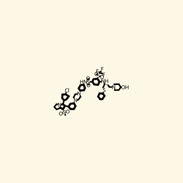 CS(=O)(=O)c1c(-c2cccc(N3CCN(c4ccc(NS(=O)(=O)c5ccc(N[C@H](CCN6CCC(O)CC6)CSc6ccccc6)c(S(=O)(=O)C(F)(F)F)c5)cc4)CC3)c2)c(-c2ccc(Cl)cc2)n2c1CCC2